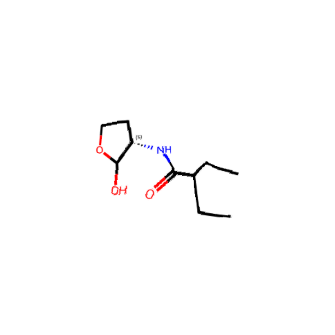 CCC(CC)C(=O)N[C@H]1CCOC1O